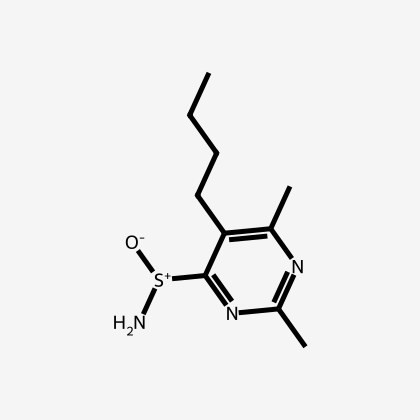 CCCCc1c(C)nc(C)nc1[S+](N)[O-]